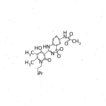 Cc1c(O)c(C2=NS(=O)(=O)c3cc(NS(C)(=O)=O)ccc3N2)c(=O)n(CCC(C)C)c1C